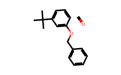 C=O.CC(C)(C)c1cccc(OCc2ccccc2)c1